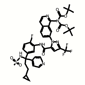 CC(C)(C)OC(=O)N(C(=O)OC(C)(C)C)c1nccc2ccc(-n3nc(C(F)(F)F)cc3C(=O)Nc3cc(C(CCC4CC4)(NS(C)(=O)=O)c4ccncc4)ccc3F)cc12